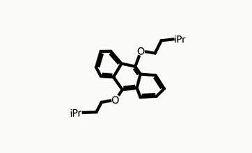 CC(C)CCOc1c2ccccc2c(OCCC(C)C)c2ccccc12